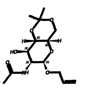 C=CCO[C@H]1O[C@@H]2COC(C)(C)O[C@H]2[C@H](O)[C@H]1NC(C)=O